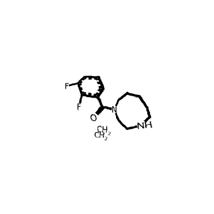 O=C(c1cccc(F)c1F)N1CCCCCNCC1.[CH2].[CH2]